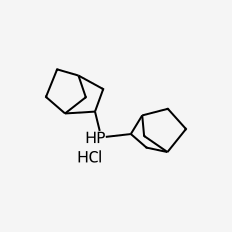 C1CC2CC1CC2PC1CC2CCC1C2.Cl